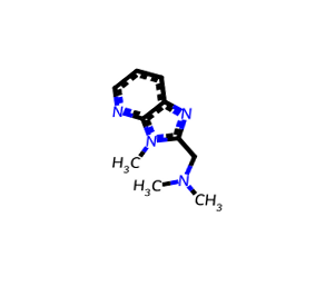 CN(C)Cc1nc2cccnc2n1C